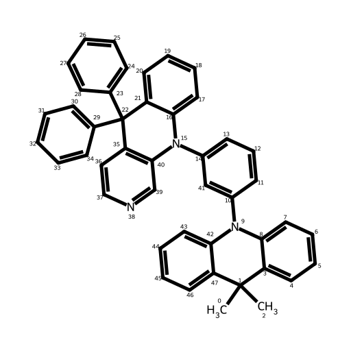 CC1(C)c2ccccc2N(c2cccc(N3c4ccccc4C(c4ccccc4)(c4ccccc4)c4ccncc43)c2)c2ccccc21